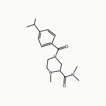 CC(C)c1ccc(C(=O)N2CCN(C)C(C(=O)N(C)C)C2)cc1